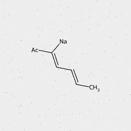 CC=CC=[C]([Na])C(C)=O